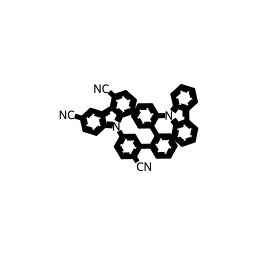 N#Cc1ccc2c(c1)c1c(C#N)cccc1n2-c1ccc(C#N)c(-c2ccccc2-c2ccccc2-n2c3ccccc3c3ccccc32)c1